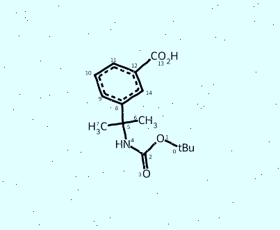 CC(C)(C)OC(=O)NC(C)(C)c1cccc(C(=O)O)c1